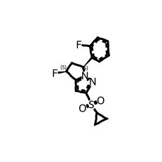 O=S(=O)(c1cc2n(n1)[C@H](c1ccccc1F)C[C@@H]2F)C1CC1